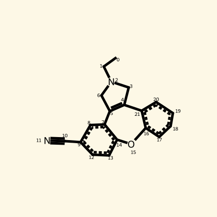 CCN1CC2=C(C1)c1cc(C#N)ccc1Oc1ccccc12